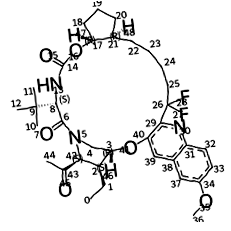 CC[C@@H]1[C@@H]2CN(C(=O)[C@H](C(C)(C)C)NC(=O)O[C@@H]3CCC[C@H]3CCCCC(F)(F)c3nc4ccc(OC)cc4cc3O2)[C@@H]1C(C)=O